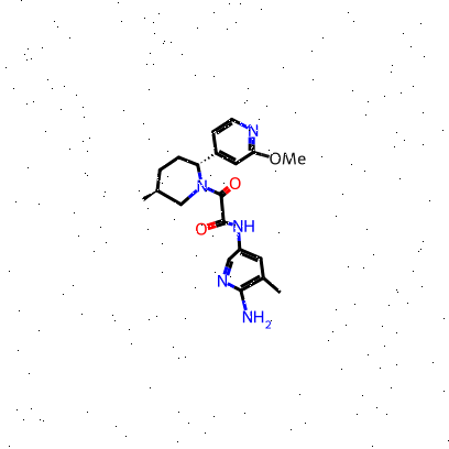 COc1cc([C@H]2CC[C@H](C)CN2C(=O)C(=O)Nc2cnc(N)c(C)c2)ccn1